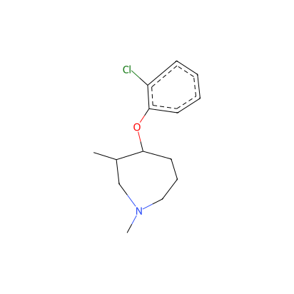 CC1CN(C)CCCC1Oc1ccccc1Cl